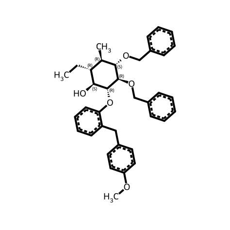 CC[C@@H]1[C@@H](C)[C@H](OCc2ccccc2)[C@@H](OCc2ccccc2)[C@H](Oc2ccccc2Cc2ccc(OC)cc2)[C@H]1O